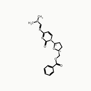 CN(C)C=Nc1ccn([C@H]2CC[C@@H](COC(=O)c3ccccc3)O2)c(=O)n1